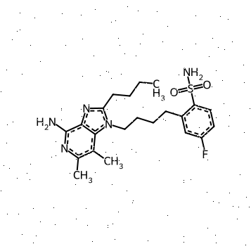 CCCCc1nc2c(N)nc(C)c(C)c2n1CCCCc1cc(F)ccc1S(N)(=O)=O